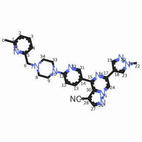 Cc1cccc(CN2CCN(c3ccc(-c4nc(-c5cnn(C)c5)cn5ncc(C#N)c45)cn3)CC2)n1